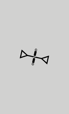 O=S(=O)([C]1CC1)C1CC1